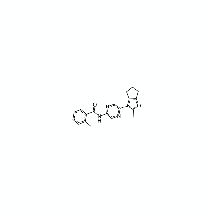 Cc1ccccc1C(=O)Nc1cnc(-c2c(C)oc3c2CCC3)cn1